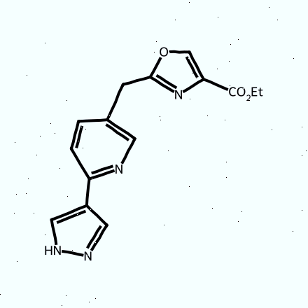 CCOC(=O)c1coc(Cc2ccc(-c3cn[nH]c3)nc2)n1